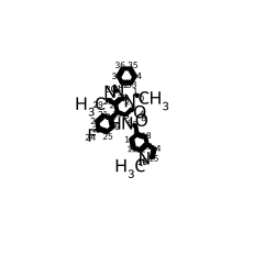 CCN1C(=O)C(NC(=O)c2ccc3c(ccn3C)c2)C(c2ccc(F)cc2)c2c(C)nn(-c3ccccc3)c21